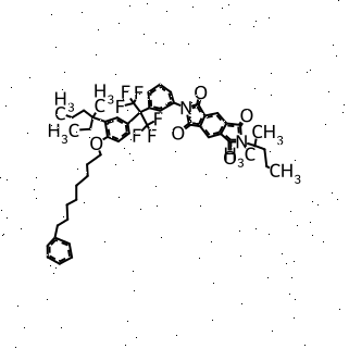 CCCC(C)(CC)c1cc(C(c2cccc(-n3c(=O)c4cc5c(=O)n(C(C)(C)CCC)c(=O)c5cc4c3=O)c2)(C(F)(F)F)C(F)(F)F)ccc1OCCCCCCCCc1ccccc1